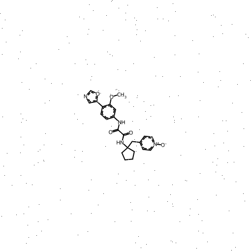 COc1cc(NC(=O)C(=O)NC2(Cc3cc[n+]([O-])cc3)CCCC2)ccc1-c1cnco1